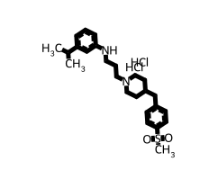 CC(C)c1cccc(NCCCN2CCC(Cc3ccc(S(C)(=O)=O)cc3)CC2)c1.Cl.Cl